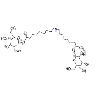 CC(CCCCCC/C=C\CCCCCCCC(=O)O[C@@H]1OC(CO)[C@@H](O)C(O)C1O)O[C@@H]1OC(CO)[C@@H](O)C(O)C1O